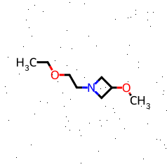 CCOCCN1CC(OC)C1